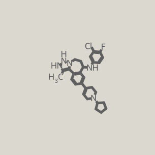 CC1=C2c3ccc(C4=CCN(C5CCCC5)CC4)cc3C(Nc3ccc(F)c(Cl)c3)CCN2NN1